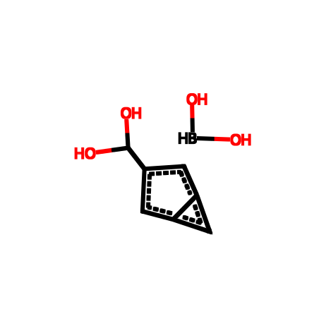 OBO.OC(O)c1cc2cc-2c1